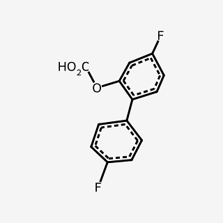 O=C(O)Oc1cc(F)ccc1-c1ccc(F)cc1